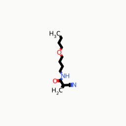 C=C(C#N)C(=O)NCCCCOCCCC